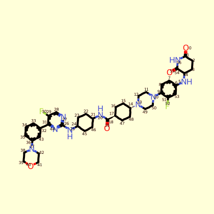 O=C1CCC(Nc2ccc(N3CCN([C@H]4CC[C@H](C(=O)NC5CCC(Nc6ncc(F)c(-c7cccc(N8CCOCC8)c7)n6)CC5)CC4)CC3)c(F)c2)C(=O)N1